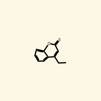 CCc1cc(=S)oc2ccccc12